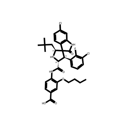 CCCCOc1cc(C(=O)O)ccc1NC(=O)[C@@H]1N[C@@H](CC(C)(C)C)C2(C(=O)Nc3cc(Cl)ccc32)[C@H]1c1cccc(Cl)c1F